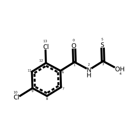 O=C(NC(O)=S)c1ccc(Cl)cc1Cl